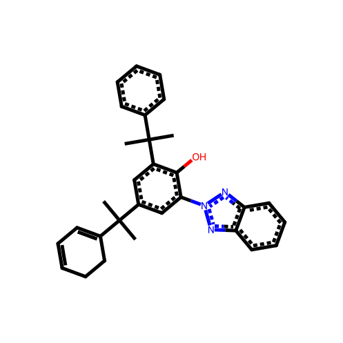 CC(C)(C1=CC=CCC1)c1cc(-n2nc3ccccc3n2)c(O)c(C(C)(C)c2ccccc2)c1